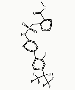 COC(=O)c1ccccc1CS(=O)(=O)Nc1ccc(-c2ccc(C(O)(C(F)(F)F)C(F)(F)F)cc2F)cc1